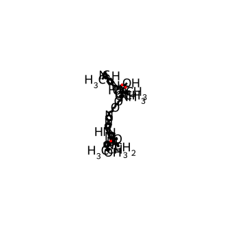 C=CCn1c(=O)c2cnc(Nc3ccc(N4CCN(CCCOCCOCC(=O)N[C@H](C(=O)N5CC(O)CC5C(=O)NCc5ccc(-c6scnc6C)cc5)C(C)(C)C)CC4)cc3)nc2n1-c1cccc(C(C)(C)O)n1